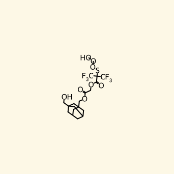 O=C(COC(=O)C(SOOO)(C(F)(F)F)C(F)(F)F)OCC12CC3CC(CC(CO)(C3)C1)C2